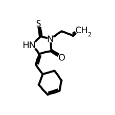 C=CCN1C(=O)/C(=C\C2CC=CCC2)NC1=S